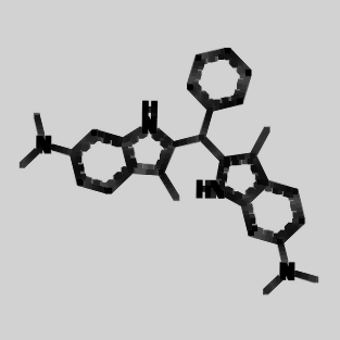 Cc1c(C(c2ccccc2)c2[nH]c3cc(N(C)C)ccc3c2C)[nH]c2cc(N(C)C)ccc12